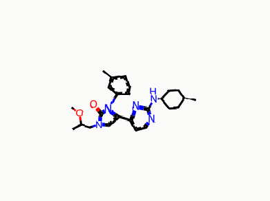 COC(C)Cn1cc(-c2ccnc(N[C@H]3CC[C@H](C)CC3)n2)n(-c2cccc(C)c2)c1=O